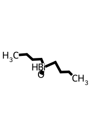 CCC[CH2][BiH](=[O])[CH2]CCC